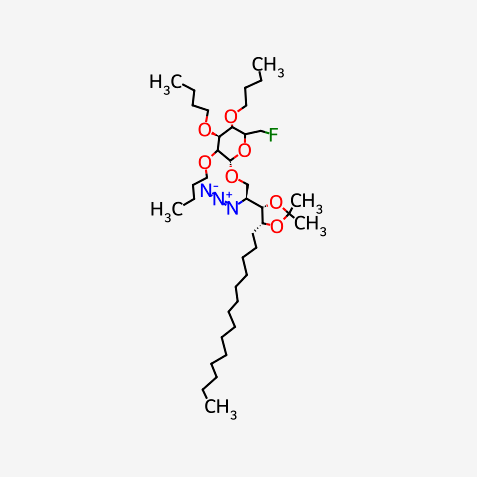 CCCCCCCCCCCCCC[C@H]1OC(C)(C)O[C@H]1[C@H](CO[C@H]1OC(CF)[C@@H](OCCCC)[C@H](OCCCC)C1OCCCC)N=[N+]=[N-]